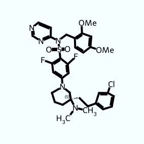 COc1ccc(CN(c2ccncn2)S(=O)(=O)c2c(F)cc(N3CCC[C@](CCc4cccc(Cl)c4)(N(C)C)C3)cc2F)c(OC)c1